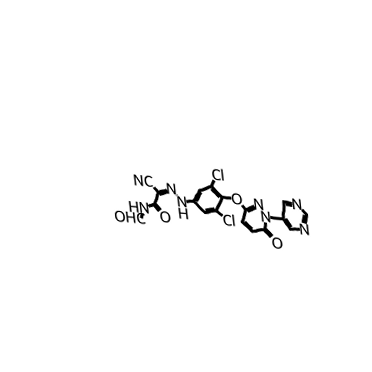 N#C/C(=N/Nc1cc(Cl)c(Oc2ccc(=O)n(-c3cncnc3)n2)c(Cl)c1)C(=O)NC=O